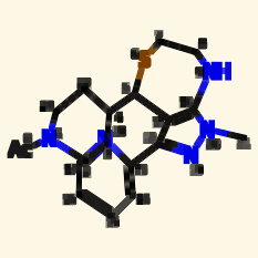 CC(=O)N1CCC(C2SCCNc3c2c(-c2ccccn2)nn3C)CC1